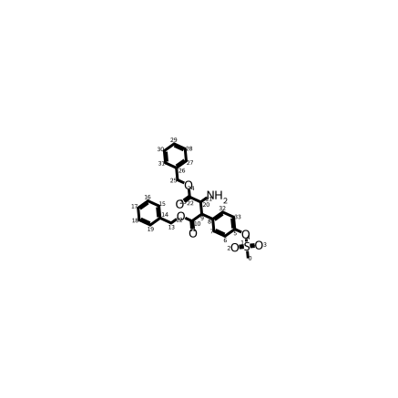 CS(=O)(=O)Oc1ccc(C(C(=O)OCc2ccccc2)C(N)C(=O)OCc2ccccc2)cc1